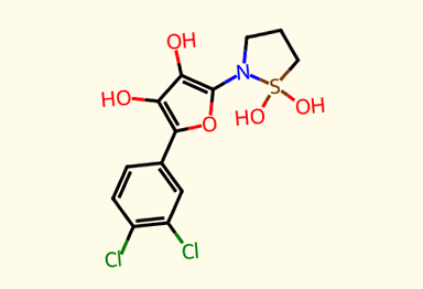 Oc1c(-c2ccc(Cl)c(Cl)c2)oc(N2CCCS2(O)O)c1O